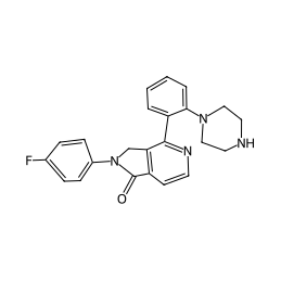 O=C1c2ccnc(-c3ccccc3N3CCNCC3)c2CN1c1ccc(F)cc1